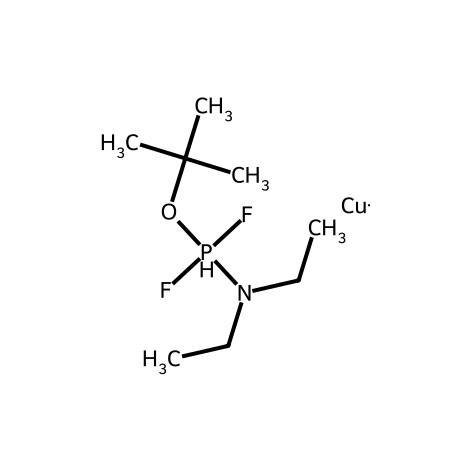 CCN(CC)[PH](F)(F)OC(C)(C)C.[Cu]